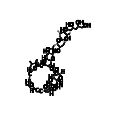 C=C1C[C@@H]2CC[C@@]34C[C@@H]5O[C@H]6[C@@H](O3)[C@H]3O[C@H](CC[C@@H]3O[C@H]6C5O4)CC(=O)O[C@@H]3CC4OC5C[C@H](C[C@@H]6O[C@@]7(CC[C@@H]6O)C[C@H](C)[C@@H]6O[C@H]([C@@H](O)C[C@@H](O)CO)C[C@@H]6O7)O[C@@H]5C[C@@H]4O[C@H]3C[C@H]3O[C@@H](CC[C@@H]1O2)C[C@@H](C)C3=C